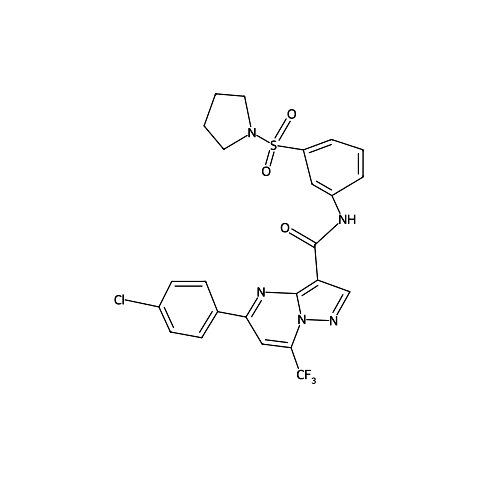 O=C(Nc1cccc(S(=O)(=O)N2CCCC2)c1)c1cnn2c(C(F)(F)F)cc(-c3ccc(Cl)cc3)nc12